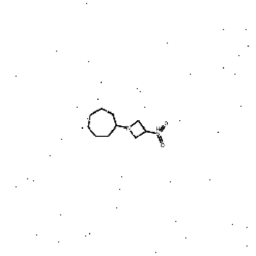 O=[SH](=O)C1CN(C2CCCCCC2)C1